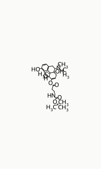 CCN(C)[C@@H]1Cc2ccc(O)c3c2[C@@]2(C)[C@@H](O3)C(OC(=O)CCNC(=O)OC(C)(C)C)=CC[C@@]12O